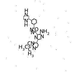 CC(C)(C#N)c1cc(-c2cnc(N)c(-c3nnc(-c4cccc(C5CNCCN5)c4)o3)n2)ccn1